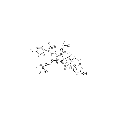 C=Cc1ccc(C(CCC(C(=O)OCOC(=O)C(C)(C)C)=C2[C@@H](OC(C)=O)C[C@@]3(C)[C@@H]2C[C@@H](O)[C@@H]2[C@@]4(C)CC[C@@H](O)[C@@H](C)C4CC[C@@]23C)=C(C)C)cc1